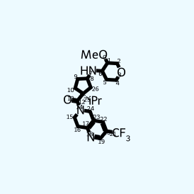 COC1COCCC1NC1CC[C@@](C(=O)N2CCc3ncc(C(F)(F)F)cc3C2)(C(C)C)C1